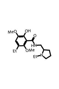 CCc1cc(OC)c(O)c(C(=O)NCC2CCCN2CC)c1OC